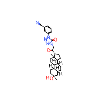 C[C@@]1(O)CC[C@H]2[C@H](CC[C@@H]3[C@@H]2CC[C@]2(C)[C@@H](C(=O)Cn4nnn(-c5cccc(C#N)c5)c4=O)CC[C@@H]32)C1